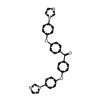 O=C(c1ccc(Oc2ccc(-n3ccnc3)cc2)cc1)c1ccc(Oc2ccc(-n3ccnc3)cc2)cc1